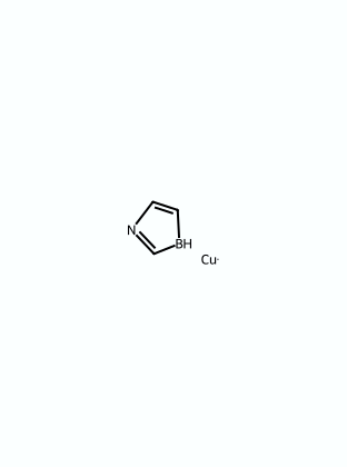 B1C=CN=C1.[Cu]